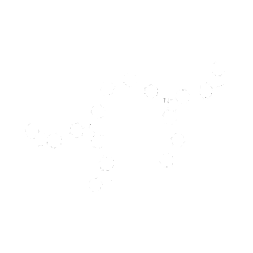 CC1(C)c2ccccc2-c2cc(-c3ccc4c(c3)c3cc(-c5ccc6c(c5)-c5ccccc5C6(C)C)ccc3n4-c3ccc(-c4ccc5c(c4)-c4cc(-c6ccc(-n7c8ccc(-c9ccc%10c(c9)-c9ccccc9C%10(C)C)cc8c8cc(-c9ccc%10c(c9)-c9ccccc9C%10(C)C)ccc87)cc6)ccc4C5)cc3)ccc21